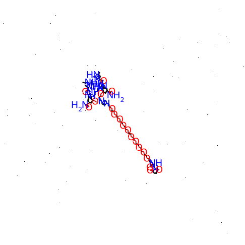 CCN/C(=C\C(C)=N)C(=O)Nc1nc2cc(C(N)=O)cc(OC)c2n1CCCCn1c(NC(=O)/C(=C/C(C)=N)NCC)nc2cc(C(N)=O)cc(OCCCN3CCN(CCOCCOCCOCCOCCOCCOCCOCCOCCOCCOCCNC(=O)CN4C(=O)C=CC4=O)CC3)c21